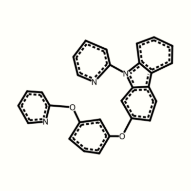 c1ccc(Oc2cccc(Oc3ccc4c5ccccc5n(-c5ccccn5)c4c3)c2)nc1